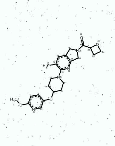 COc1ccc(OC2CCN(c3nc4c(cc3C)CN(C(=O)C3CCO3)C4)CC2)cn1